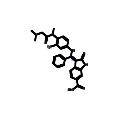 COC(=O)c1ccc2c(c1)NC(=O)/C2=C(\Nc1ccc(N(C)C(=O)CN(C)C)c(C(F)(F)F)c1)c1ccccc1